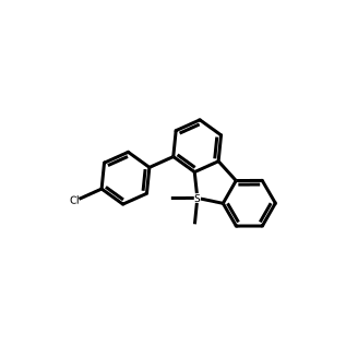 CS1(C)c2ccccc2-c2cccc(-c3ccc(Cl)cc3)c21